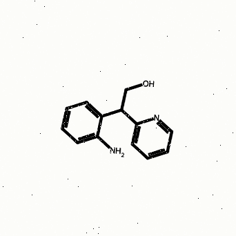 Nc1ccccc1C(CO)c1ccccn1